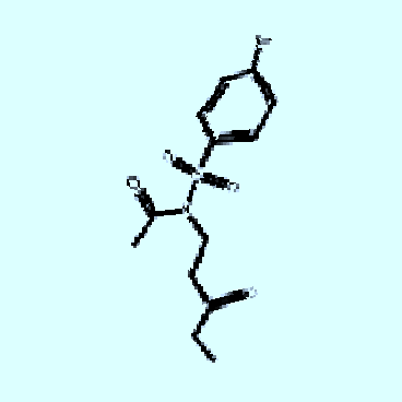 CCC(=O)CCN(C(C)=O)S(=O)(=O)c1ccc(Br)cc1